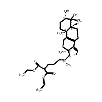 CCOC(=O)C(CCC[C@@H](C)[C@H]1CC=C2C3=C(CC[C@@]21C)[C@@]1(C)CC[C@H](O)C(C)(C)[C@@H]1CC3)C(=O)OCC